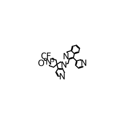 O=C(N1CCC2(CC1)CN(Cc1ncc3ccccc3c1-c1cccnc1)c1cnccc12)C(F)(F)F